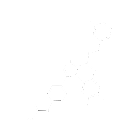 CNC(=O)Nc1ccc(-c2cnc3c(NCc4cccc(F)c4)nc4cc(C)c(C)cc4n23)cc1